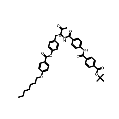 CCCCCCCOc1ccc(C(=O)Oc2ccc(C[C@H](NC(=O)c3ccc(NC(=O)c4ccc(C(=O)OC(C)(C)C)cc4)cc3)C(C)=O)cc2)cc1